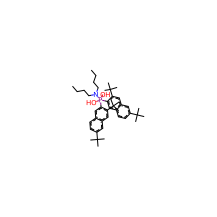 CCCCN(CCCC)P(O)(O)(c1cc2ccc(C(C)(C)C)cc2cc1C(C)(C)C)c1cc2ccc(C(C)(C)C)cc2cc1C(C)(C)C